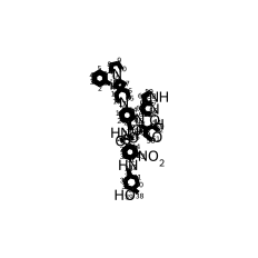 CC(C)c1ccccc1[C@@H]1CCCN1C1CC2(CCN(c3ccc(C(=O)NS(=O)(=O)c4ccc(NCC5CCC(C)(O)CC5)c([N+](=O)[O-])c4)c(N4C[C@@H]5CCOC[C@@H]5Oc5nc6[nH]ccc6cc54)c3)CC2)C1